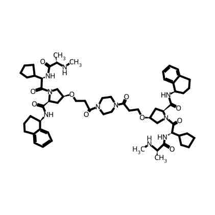 CN[C@@H](C)C(=O)N[C@H](C(=O)N1C[C@@H](OCCC(=O)N2CCN(C(=O)CCO[C@H]3C[C@@H](C(=O)N[C@@H]4CCCc5ccccc54)N(C(=O)[C@@H](NC(=O)[C@H](C)NC)C4CCCC4)C3)CC2)C[C@H]1C(=O)N[C@@H]1CCCc2ccccc21)C1CCCC1